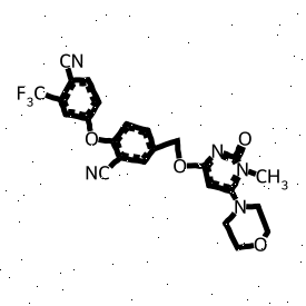 Cn1c(N2CCOCC2)cc(OCc2ccc(Oc3ccc(C#N)c(C(F)(F)F)c3)c(C#N)c2)nc1=O